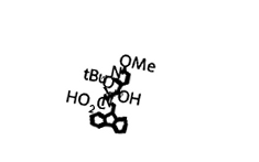 COc1ccc([C@@H](O)[C@H](COC(C)(C)C)N(CC2c3ccccc3-c3ccccc32)C(=O)O)cn1